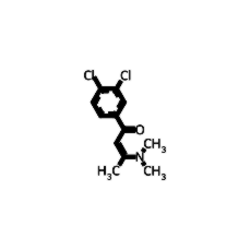 CC(=CC(=O)c1ccc(Cl)c(Cl)c1)N(C)C